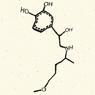 COCCCC(C)NCC(O)c1ccc(O)c(O)c1